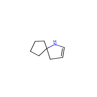 C1=CNC2(C1)CCCC2